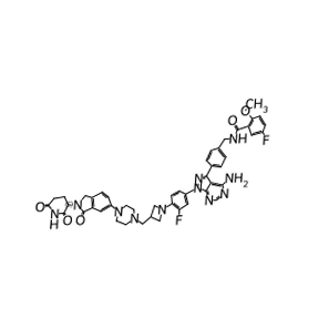 COc1ccc(F)cc1C(=O)NCc1ccc(-c2nn(-c3ccc(N4CC(CN5CCN(c6ccc7c(c6)C(=O)N([C@H]6CCC(=O)NC6=O)C7)CC5)C4)c(F)c3)c3ncnc(N)c23)cc1